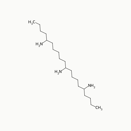 CCCCC(N)CCCCCC(N)CCCCC(N)CCCC